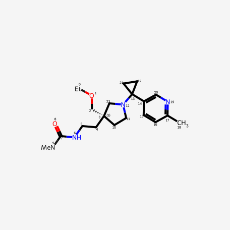 CCOC[C@@]1(CCNC(=O)NC)CCN(C2(c3ccc(C)nc3)CC2)C1